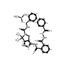 CN(C)C[C@@H](NC(=O)N1Cc2c(NC(=O)c3ccccc3C(=O)NOC(=O)c3ccccc3)n[nH]c2C1(C)C)c1ccccc1